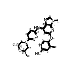 Cc1cc(C#N)ncc1Oc1cc(Nc2ccc(N3C[C@@H](C)O[C@H](C)C3)nn2)c2ncn(C)c2n1